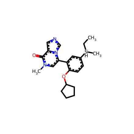 CC[SiH](C)c1ccc(OC2CCCC2)c(-c2cn(C)c(=O)c3cncn23)c1